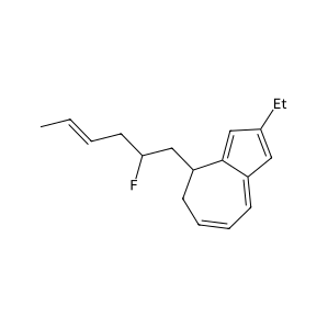 CC=CCC(F)CC1CC=CC=C2C=C(CC)C=C21